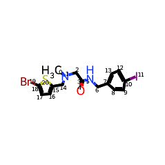 CN(CC(=O)NCc1ccc(I)cc1)Cc1ccc(Br)s1